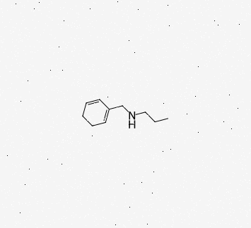 CCCNCC1=CCCC=C1